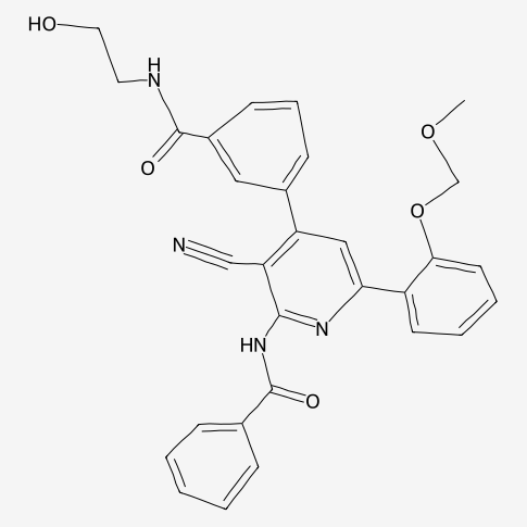 COCOc1ccccc1-c1cc(-c2cccc(C(=O)NCCO)c2)c(C#N)c(NC(=O)c2ccccc2)n1